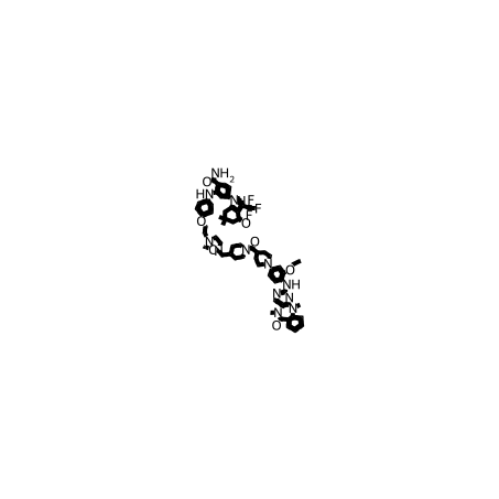 CCOc1cc(N2CCC(C(=O)N3CCC(CN4CCN(CCOc5ccc(Nc6cc(-n7nc(C(F)(F)F)c8c7CC(C)(C)CC8=O)ccc6C(N)=O)cc5)CC4)CC3)CC2)ccc1Nc1ncc2c(n1)N(C)c1ccccc1C(=O)N2C